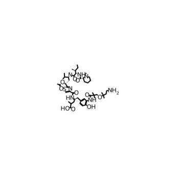 CC[C@H](C)[C@H](NC(=O)[C@H]1CCCCN1C)C(=O)N(C)C(C[C@@H](OC(C)=O)c1nc(C(=O)N[C@@H](Cc2ccc(O)c(NC(=O)C(C)(C)COC(C)(C)CCN)c2)CC(C)C(=O)O)cs1)C(C)C